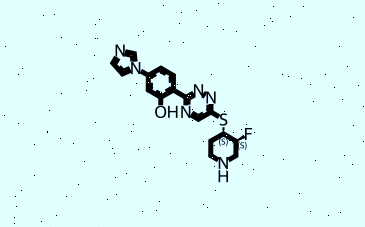 Oc1cc(-n2ccnc2)ccc1-c1ncc(S[C@H]2CCNC[C@@H]2F)nn1